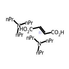 CCCN(CCC)CCC.CCCN(CCC)CCC.O=C(O)/C=C/C(=O)O